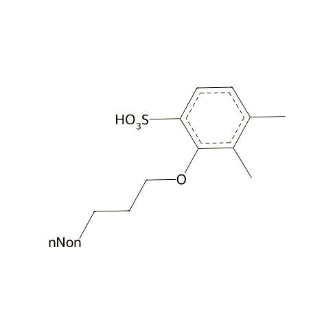 CCCCCCCCCCCCOc1c(S(=O)(=O)O)ccc(C)c1C